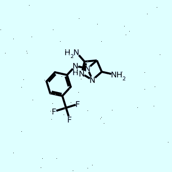 NC1=NN2C(N)C1N2Nc1cccc(C(F)(F)F)c1